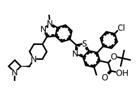 Cc1cc2nc(-c3ccc4c(c3)c(C3CCN(C[C@@H]5CCN5C)CC3)nn4C)sc2c(-c2ccc(Cl)cc2)c1C(OC(C)(C)C)C(=O)O